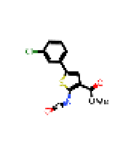 COC(=O)c1cc(-c2cccc(Cl)c2)sc1N=C=O